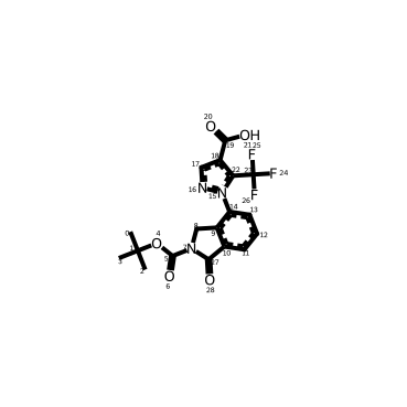 CC(C)(C)OC(=O)N1Cc2c(cccc2-n2ncc(C(=O)O)c2C(F)(F)F)C1=O